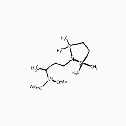 CO[SiH](OC)C(C)CCN1[Si](C)(C)CC[Si]1(C)C